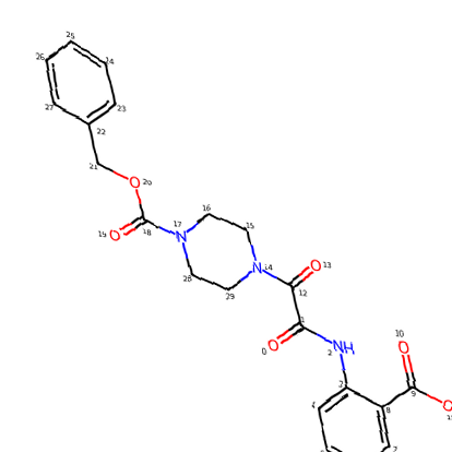 O=C(Nc1ccccc1C(=O)O)C(=O)N1CCN(C(=O)OCc2ccccc2)CC1